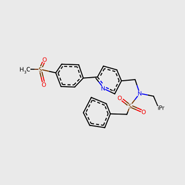 CC(C)CN(Cc1ccc(-c2ccc(S(C)(=O)=O)cc2)nc1)S(=O)(=O)Cc1ccccc1